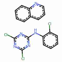 Clc1nc(Cl)nc(Nc2ccccc2Cl)n1.c1ccc2ncccc2c1